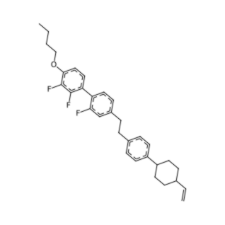 C=CC1CCC(c2ccc(CCc3ccc(-c4ccc(OCCCC)c(F)c4F)c(F)c3)cc2)CC1